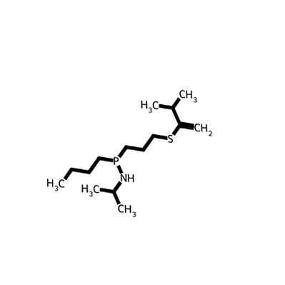 C=C(SCCCP(CCCC)NC(C)C)C(C)C